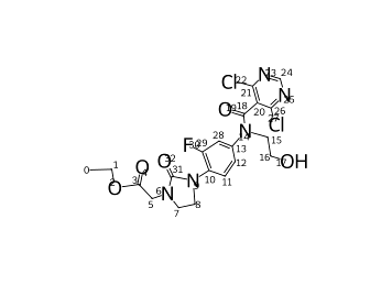 CCOC(=O)CN1CCN(c2ccc(N(CCO)C(=O)c3c(Cl)ncnc3Cl)cc2F)C1=O